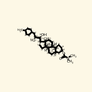 Cc1ccc(C[C@H](O)[C@@H](O)[C@H]2CC[C@H]3[C@@H]4CC[C@H]5C[C@@H](OC(=O)N(C)C)CC[C@]5(C)[C@H]4CC[C@]23C)cc1